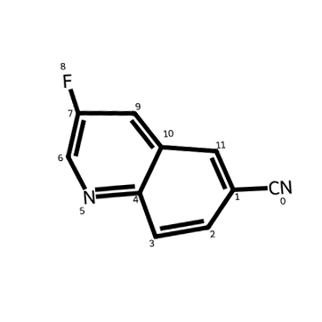 N#Cc1ccc2ncc(F)cc2c1